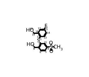 CS(=O)(=O)c1ccc(CO)c(Sc2ccc(F)cc2CO)c1